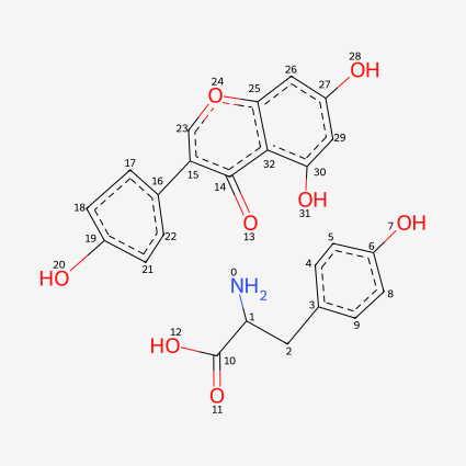 NC(Cc1ccc(O)cc1)C(=O)O.O=c1c(-c2ccc(O)cc2)coc2cc(O)cc(O)c12